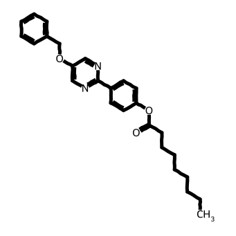 CCCCCCCCC(=O)Oc1ccc(-c2ncc(OCc3ccccc3)cn2)cc1